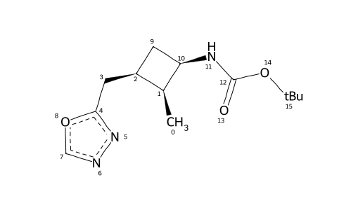 C[C@H]1[C@@H](Cc2nnco2)C[C@H]1NC(=O)OC(C)(C)C